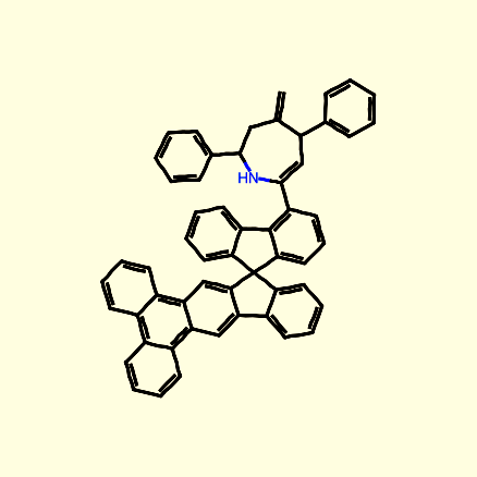 C=C1CC(c2ccccc2)NC(c2cccc3c2-c2ccccc2C32c3ccccc3-c3cc4c5ccccc5c5ccccc5c4cc32)=CC1c1ccccc1